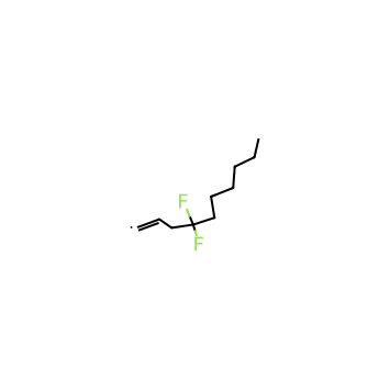 [CH]=CCC(F)(F)CCCCCC